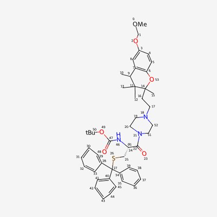 COCOc1ccc2c(c1)C(C)C(C)(C)C(C)(CCN1CCN(C(=O)[C@H](CSC(c3ccccc3)(c3ccccc3)c3ccccc3)NC(=O)OC(C)(C)C)CC1)O2